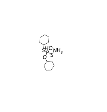 N.OP(=S)(OC1CCCCC1)SC1CCCCC1